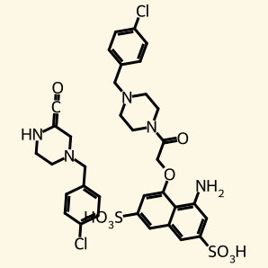 Nc1cc(S(=O)(=O)O)cc2cc(S(=O)(=O)O)cc(OCC(=O)N3CCN(Cc4ccc(Cl)cc4)CC3)c12.O=C=C1CN(Cc2ccc(Cl)cc2)CCN1